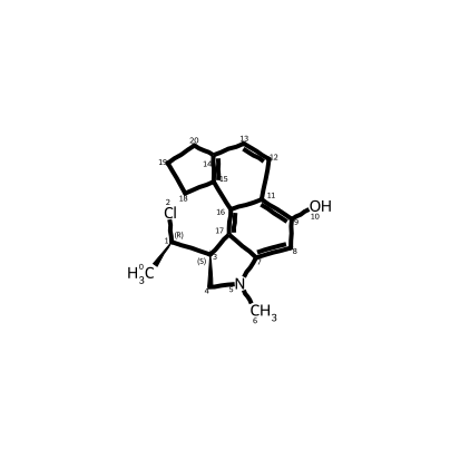 C[C@@H](Cl)[C@@H]1CN(C)c2cc(O)c3ccc4c(c3c21)CCC4